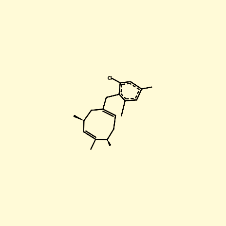 C/C1=C/[C@@H](C)C/C(Cc2c(C)cc(C)cc2Cl)=C\C[C@H]1C